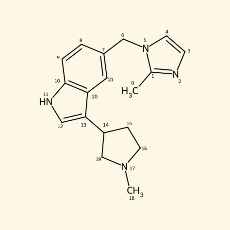 Cc1nccn1Cc1ccc2[nH]cc(C3CCN(C)C3)c2c1